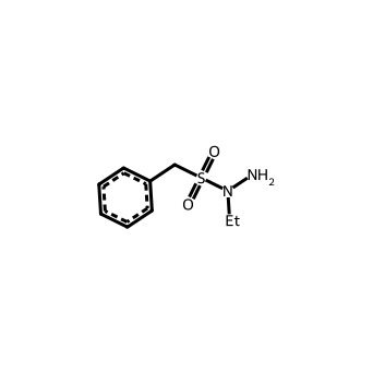 CCN(N)S(=O)(=O)Cc1ccccc1